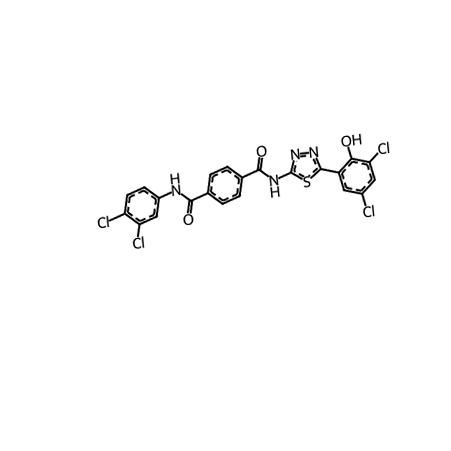 O=C(Nc1ccc(Cl)c(Cl)c1)c1ccc(C(=O)Nc2nnc(-c3cc(Cl)cc(Cl)c3O)s2)cc1